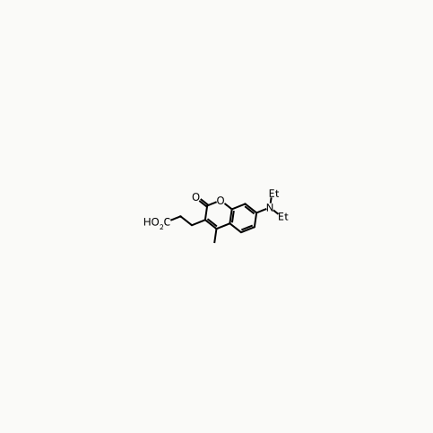 CCN(CC)c1ccc2c(C)c(CCC(=O)O)c(=O)oc2c1